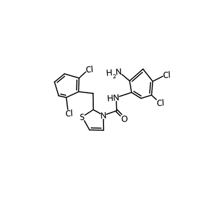 Nc1cc(Cl)c(Cl)cc1NC(=O)N1C=CSC1Cc1c(Cl)cccc1Cl